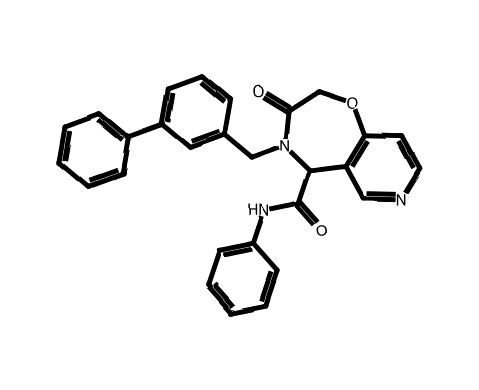 O=C(Nc1ccccc1)C1c2cnccc2OCC(=O)N1Cc1cccc(-c2ccccc2)c1